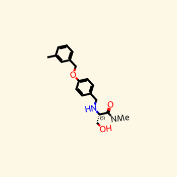 CNC(=O)[C@H](CO)NCc1ccc(OCc2cccc(C)c2)cc1